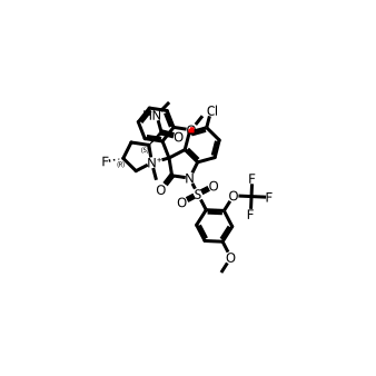 CNC(=O)[C@@H]1C[C@@H](F)C[N+]1(C)C1(c2ccccc2OC)C(=O)N(S(=O)(=O)c2ccc(OC)cc2OC(F)(F)F)c2ccc(Cl)cc21